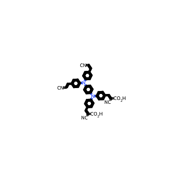 [C-]#[N+]/C=C\c1ccc(N(c2ccc(/C=C/[N+]#[C-])cc2)c2ccc(N(c3ccc(/C=C(/C#N)C(=O)O)cc3)c3ccc(/C=C(\C#N)C(=O)O)cc3)cc2)cc1